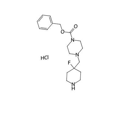 Cl.O=C(OCc1ccccc1)N1CCN(CC2(F)CCNCC2)CC1